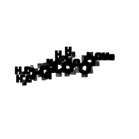 C=C/C(=C\C)c1cnc2c(c1)nc(N)n2Cc1ccc(OC2CCCc3cc(OC)ncc32)c(C)c1